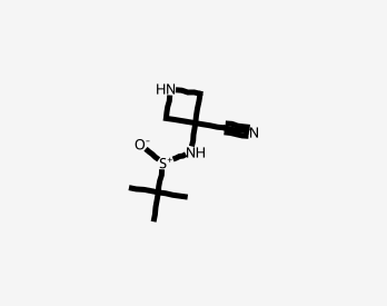 CC(C)(C)[S+]([O-])NC1(C#N)CNC1